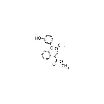 CO/C=C(/C(=O)OC)c1ccccc1Oc1cccc(O)c1